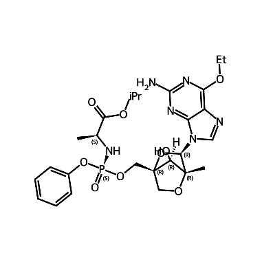 CCOc1nc(N)nc2c1ncn2[C@@H]1O[C@@]2(CO[P@@](=O)(N[C@@H](C)C(=O)OC(C)C)Oc3ccccc3)CO[C@]1(C)[C@@H]2O